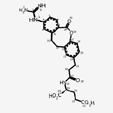 N=C(N)Nc1ccc2c(c1)CCc1cc(CCC(=O)N[C@@H](CCC(=O)O)C(=O)O)ccc1OC2=O